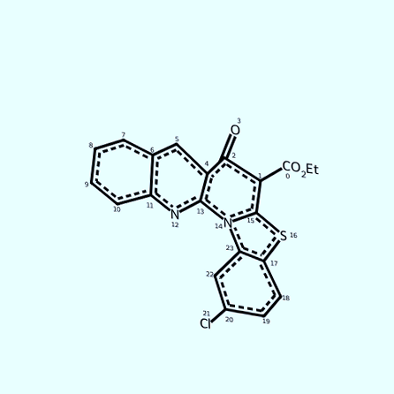 CCOC(=O)c1c(=O)c2cc3ccccc3nc2n2c1sc1ccc(Cl)cc12